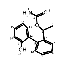 CC(OC(N)=O)c1ccccc1-c1ccccc1O